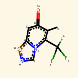 Cc1c(C(F)(F)F)n2cnsc2cc1=O